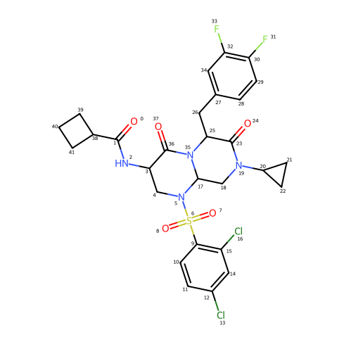 O=C(NC1CN(S(=O)(=O)c2ccc(Cl)cc2Cl)C2CN(C3CC3)C(=O)C(Cc3ccc(F)c(F)c3)N2C1=O)C1CCC1